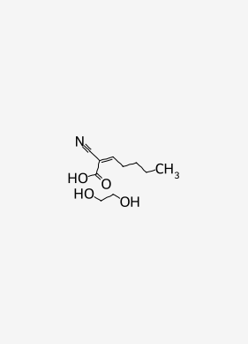 CCCCC=C(C#N)C(=O)O.OCCO